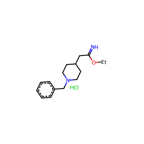 CCOC(=N)CC1CCN(Cc2ccccc2)CC1.Cl